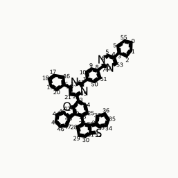 c1ccc(-c2cnc(-c3ccc(-c4nc(-c5ccccc5)cc(-c5ccc(-c6cccc7sc8ccccc8c67)c6c5oc5ccccc56)n4)cc3)nc2)cc1